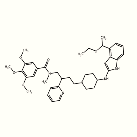 CCOC(C)c1cccc2[nH]c(NC3CCN(CCC(CN(C)C(=O)c4cc(OC)c(OC)c(OC)c4)c4ccccn4)CC3)nc12